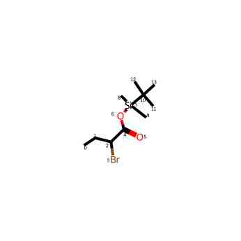 CCC(Br)C(=O)O[Si](C)(C)C(C)(C)C